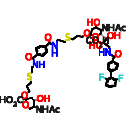 CC(=O)N[C@H]1CO[C@@](OCCCSCCNC(=O)c2ccc(C(=O)NCCSCCCO[C@]3(C(=O)O)CC(O)[C@@H](NC(C)=O)[C@H](C(O)[C@H](O)CNC(=O)c4ccc(-c5c(F)cccc5F)cc4)O3)cc2)(C(=O)O)C[C@@H]1O